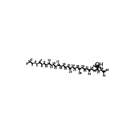 CC(C)=CCC/C(C)=C/C=C/C(C)=C/C=C/C(C)=C/C=C/C=C(C)/C=C/C=C(C)/C=C/C=C(C)/C=C/C(CC=C(C)C)C(C)(C)O